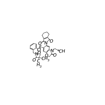 C#CCN1C(=O)COc2cc(F)c(N3C(=O)C4=C(CCCC4)C3=O)cc21.CC1(C)CON(Cc2ccccc2Cl)C1=O